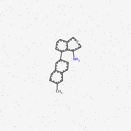 Cc1ccc2cc(-c3cccc4cccc(N)c34)ccc2c1